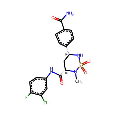 CN1[C@H](C(=O)Nc2ccc(F)c(Cl)c2)C[C@H](c2ccc(C(N)=O)cc2)NS1(=O)=O